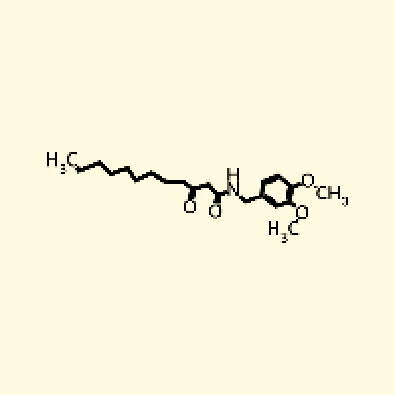 CCCCCCCCCC(=O)CC(=O)NCc1ccc(OC)c(OC)c1